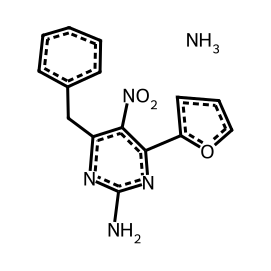 N.Nc1nc(Cc2ccccc2)c([N+](=O)[O-])c(-c2ccco2)n1